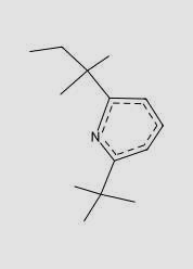 CCC(C)(C)c1cccc(C(C)(C)C)n1